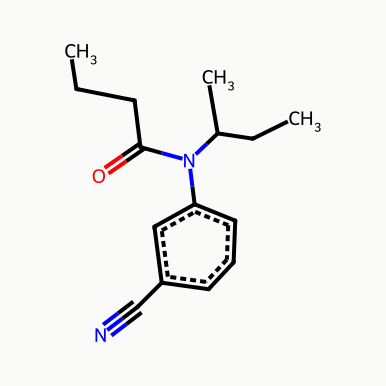 CCCC(=O)N(c1cccc(C#N)c1)C(C)CC